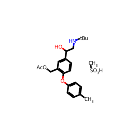 CC(=O)OCc1cc(C(O)CNC(C)(C)C)ccc1Oc1ccc(C)cc1.CS(=O)(=O)O